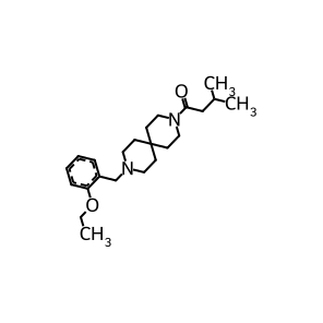 CCOc1ccccc1CN1CCC2(CC1)CCN(C(=O)CC(C)C)CC2